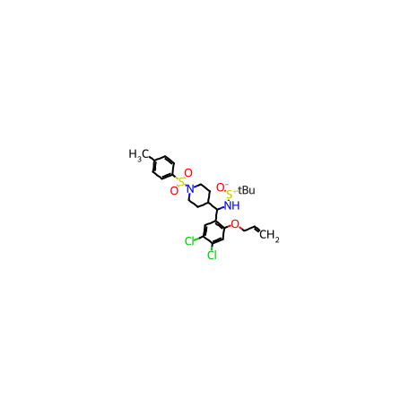 C=CCOc1cc(Cl)c(Cl)cc1C(N[S+]([O-])C(C)(C)C)C1CCN(S(=O)(=O)c2ccc(C)cc2)CC1